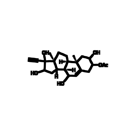 C#CC1(O)C(O)C[C@H]2[C@@H]3C(O)C=C4CC(OC(C)=O)C(O)C[C@]4(C)[C@@H]3CC[C@@]21C